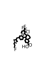 O=C(O)c1ccc2c(c1)CCCC(c1nccc(C(F)(F)F)c1Cl)=C2c1ccc(CC2CN(CCCF)C2)cc1